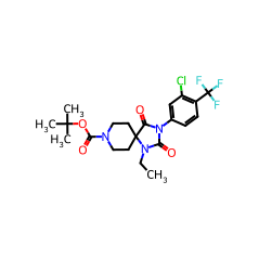 CCN1C(=O)N(c2ccc(C(F)(F)F)c(Cl)c2)C(=O)C12CCN(C(=O)OC(C)(C)C)CC2